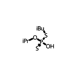 CCC(C)SP(O)(=S)OC(C)C